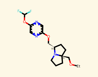 CCOC[C@@]12CCCN1[C@H](COc1cnc(OC(F)F)cn1)CC2